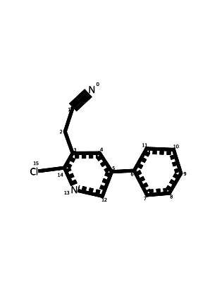 N#CCc1cc(-c2ccccc2)cnc1Cl